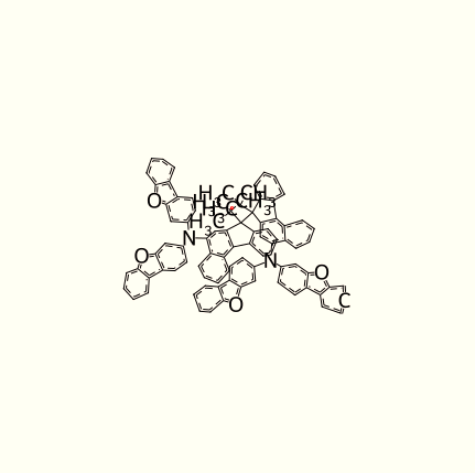 CC(C)(C)C1(C2(C(C)(C)C)c3ccccc3-c3c2cc(N(c2ccc4c(c2)oc2ccccc24)c2ccc4c(c2)oc2ccccc24)c2ccccc32)c2ccccc2-c2c1cc(N(c1ccc3c(c1)oc1ccccc13)c1ccc3c(c1)oc1ccccc13)c1ccccc21